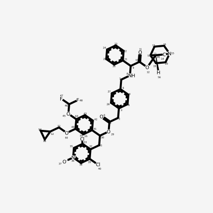 O=C(Cc1ccc(CNC(C(=O)O[C@H]2CN3CCC2CC3)c2ccccc2)cc1)OC(Cc1c(Cl)c[n+]([O-])cc1Cl)c1ccc(OC(F)F)c(OCC2CC2)c1